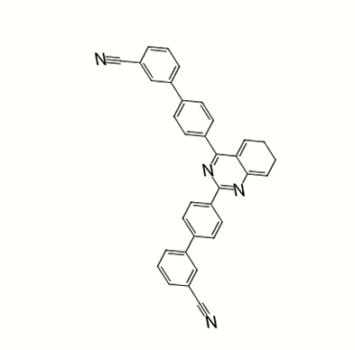 N#Cc1cccc(-c2ccc(-c3nc(-c4ccc(-c5cccc(C#N)c5)cc4)c4c(n3)=CCCC=4)cc2)c1